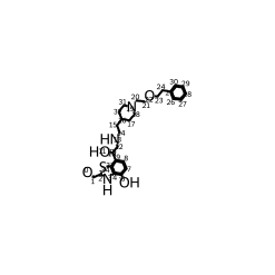 O=CC1Nc2c(O)ccc([C@@H](O)CNCCC3CCN(CCOCCc4ccccc4)CC3)c2S1